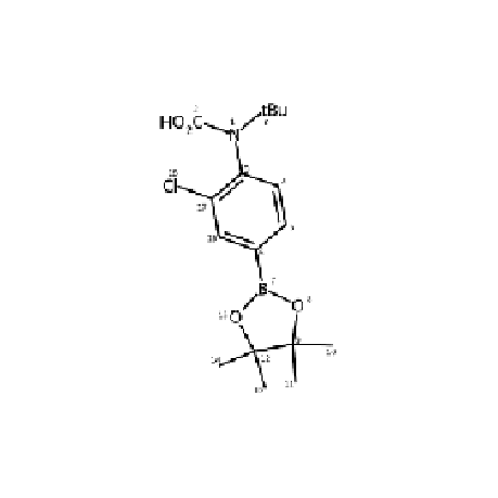 CC(C)(C)N(C(=O)O)c1ccc(B2OC(C)(C)C(C)(C)O2)cc1Cl